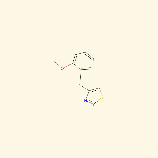 COc1ccccc1Cc1cs[c]n1